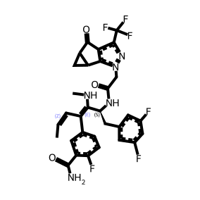 C/C=C\C(=C(/NC)[C@H](Cc1cc(F)cc(F)c1)NC(=O)Cn1nc(C(F)(F)F)c2c1C1CC1C2=O)c1ccc(F)c(C(N)=O)c1